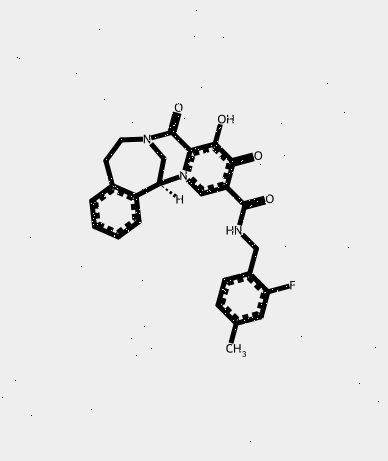 Cc1ccc(CNC(=O)c2cn3c(c(O)c2=O)C(=O)N2CCc4ccccc4[C@H]3C2)c(F)c1